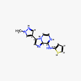 Cn1cc(-c2cnc3c(Nc4cccs4)nccn23)cn1